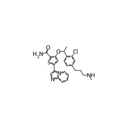 CNCCCc1ccc(C(C)Oc2cc(-c3cnc4ccccn34)sc2C(N)=O)c(Cl)c1